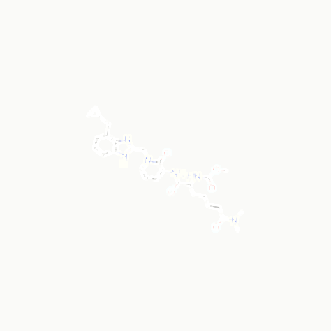 COC(=O)NC(CCC=CC(=O)N(C)C)C(=O)Nc1cccn(Cc2nc3c(CC4CC4)cccc3[nH]2)c1=O